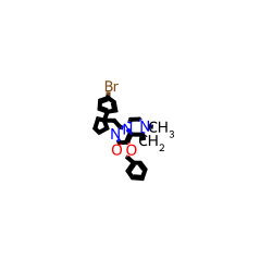 C=C1c2c(OCc3ccccc3)c(=O)nc(CC3(c4ccc(Br)cc4)CCCC3)n2CCN1C